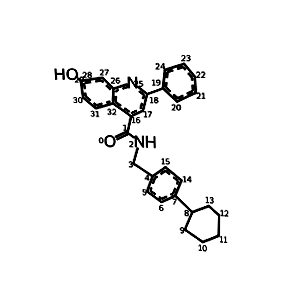 O=C(NCc1ccc(C2CCCCC2)cc1)c1cc(-c2ccccc2)nc2cc(O)ccc12